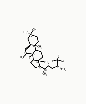 C[C@H](CC[C@@H](C)C(F)(F)F)[C@H]1CCC2[C@H]3C(CC[C@@]21C)[C@@]1(C)CC[C@](C)(O)CC1=C[C@@H]3C